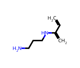 C=CC(=C)NCCCN